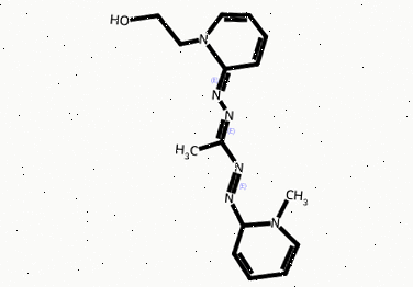 CC(/N=N/C1C=CC=CN1C)=N\N=c1/ccccn1CCO